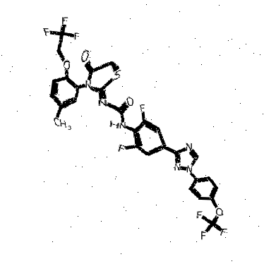 Cc1ccc(OCC(F)(F)F)c(N2C(=O)CSC2=NC(=O)Nc2c(F)cc(-c3ncn(-c4ccc(OC(F)(F)F)cc4)n3)cc2F)c1